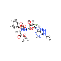 CCCNc1ncnc2c1ncn2[C@@H]1O[C@H](CO[P@](=O)(N[C@@H](C)C(=O)OC(C)C)Oc2ccccc2)[C@@H](O)[C@@]1(C)F